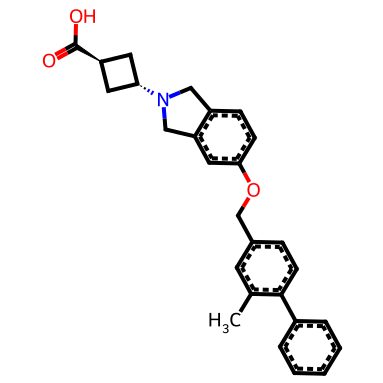 Cc1cc(COc2ccc3c(c2)CN([C@H]2C[C@H](C(=O)O)C2)C3)ccc1-c1ccccc1